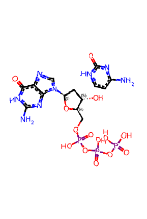 Nc1cc[nH]c(=O)n1.Nc1nc2c(ncn2[C@H]2C[C@H](O)[C@@H](COP(=O)(O)OP(=O)(O)OP(=O)(O)O)O2)c(=O)[nH]1